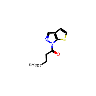 CCCCCCCCCC(=O)n1ncc2ccsc21